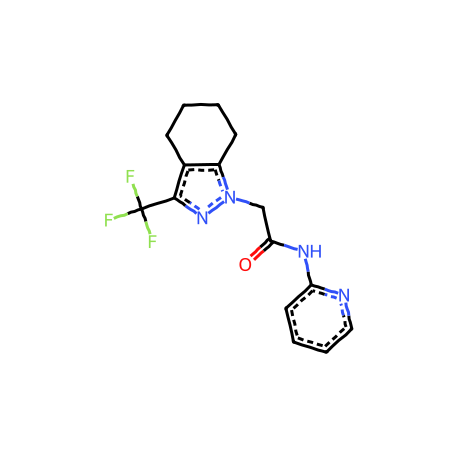 O=C(Cn1nc(C(F)(F)F)c2c1CCCC2)Nc1ccccn1